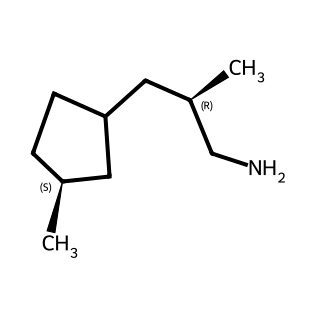 C[C@@H](CN)CC1CC[C@H](C)C1